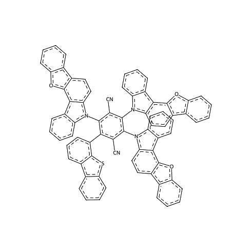 N#Cc1c(-c2cccc3c2sc2ccccc23)c(-n2c3ccccc3c3c4oc5ccccc5c4ccc32)c(C#N)c(-n2c3ccccc3c3c4oc5ccccc5c4ccc32)c1-n1c2ccccc2c2c3oc4ccccc4c3ccc21